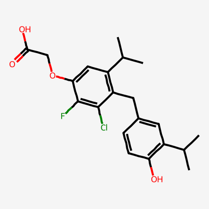 CC(C)c1cc(Cc2c(C(C)C)cc(OCC(=O)O)c(F)c2Cl)ccc1O